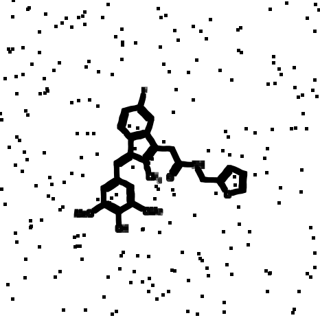 COc1cc(C=C2C(C)=C(CC(=O)NCc3ccco3)c3cc(F)ccc32)cc(OC)c1O